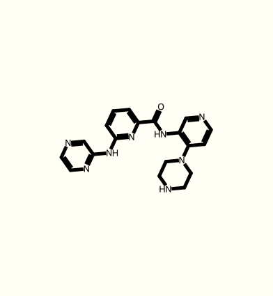 O=C(Nc1cnccc1N1CCNCC1)c1cccc(Nc2cnccn2)n1